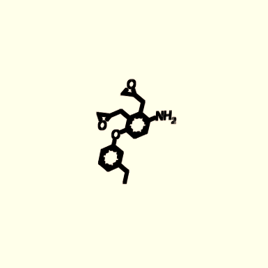 CCc1cccc(Oc2ccc(N)c(CC3CO3)c2CC2CO2)c1